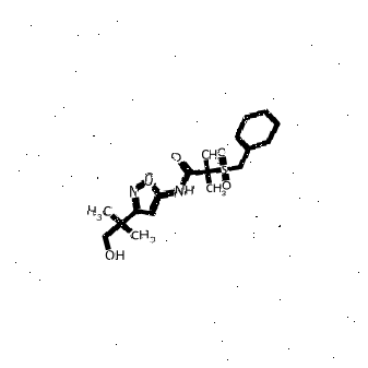 CC(C)(CO)c1cc(NC(=O)C(C)(C)S(=O)(=O)CC2CCCCC2)on1